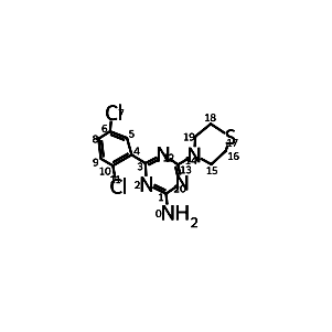 Nc1nc(-c2cc(Cl)ccc2Cl)nc(N2CCSCC2)n1